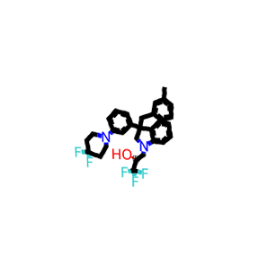 Cc1cccc(CC2(c3cccc(N4CCC(F)(F)CC4)c3)CN(C[C@@H](O)C(F)(F)F)c3ccccc32)c1